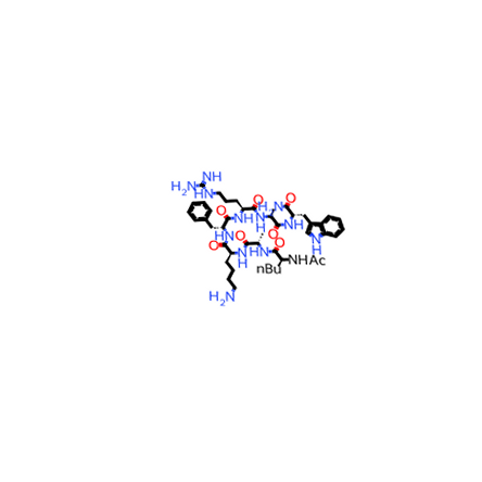 CCCC[C@H](NC(C)=O)C(=O)N[C@@H](C)C(=O)N[C@@H](CCCCN)C(=O)N[C@H](Cc1ccccc1)C(=O)N[C@@H](CCCNC(=N)N)C(=O)N[C@@H](C)C(=O)N[C@@H](Cc1c[nH]c2ccccc12)C(N)=O